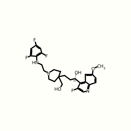 COc1ccc2ncc(F)c([C@@H](O)CCC3(CO)CCN(CCNc4c(F)cc(F)cc4F)CC3)c2c1